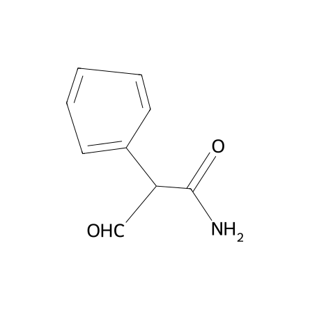 NC(=O)C(C=O)c1ccccc1